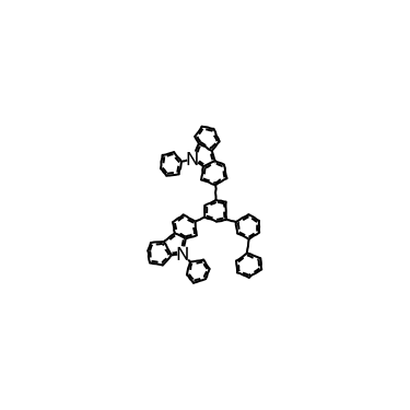 c1ccc(-c2cccc(-c3cc(-c4ccc5c6ccccc6n(-c6ccccc6)c5c4)cc(-c4ccc5c6ccccc6n(-c6ccccc6)c5c4)c3)c2)cc1